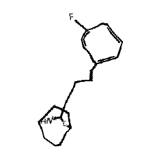 Fc1cccc(CCC2CC3CCC(CC3)N2)c1